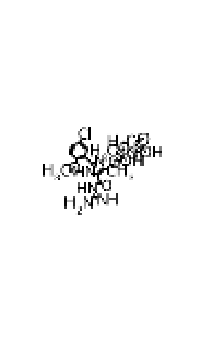 COc1ccc(Cl)cc1-c1nc(C)c(C(=O)NC(=N)N)[nH]1.CS(=O)(=O)O.CS(=O)(=O)O